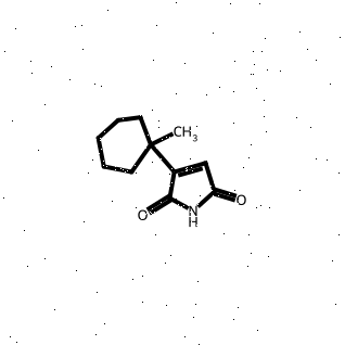 CC1(C2=CC(=O)NC2=O)CCCCC1